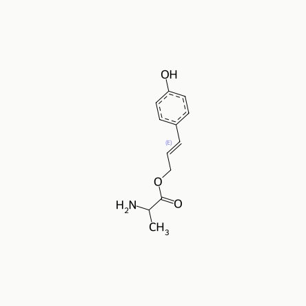 CC(N)C(=O)OC/C=C/c1ccc(O)cc1